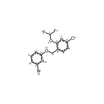 FC(F)Oc1nc(Cl)ccc1COc1cccc(Br)n1